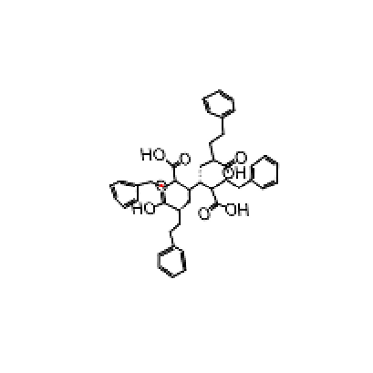 O=C(O)C(CCc1ccccc1)C[C@H](C(CCc1ccccc1)C(=O)O)C(C[C@@H](CCc1ccccc1)C(=O)O)C(CCc1ccccc1)C(=O)O